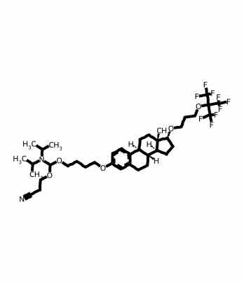 CC(C)N(C(C)C)C(OCCC#N)OCCCCOc1ccc2c(c1)CC[C@@H]1[C@@H]2CC[C@]2(C)[C@@H](OCCCOC(C(F)(F)F)(C(F)(F)F)C(F)(F)F)CC[C@@H]12